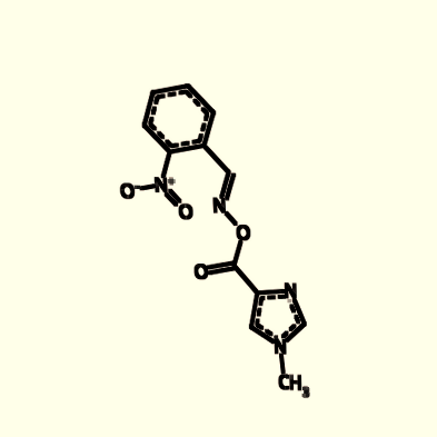 Cn1cnc(C(=O)ON=Cc2ccccc2[N+](=O)[O-])c1